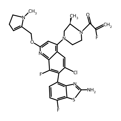 C=C(F)C(=O)N1CCN(c2cc(OCC3=CCCN3C)nc3c(F)c(-c4ccc(F)c5sc(N)nc45)c(Cl)cc23)C[C@H]1C